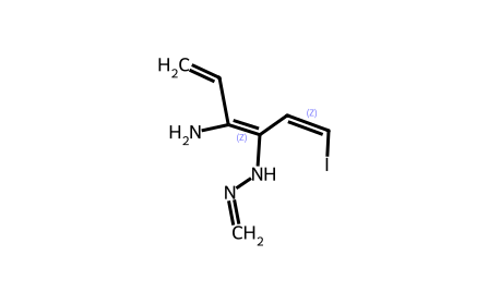 C=C/C(N)=C(\C=C/I)NN=C